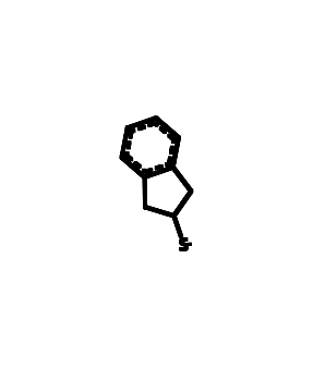 [S]C1Cc2ccccc2C1